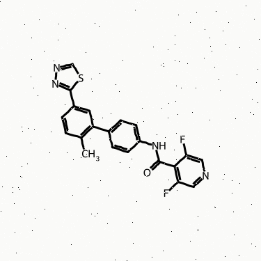 Cc1ccc(-c2nncs2)cc1-c1ccc(NC(=O)c2c(F)cncc2F)cc1